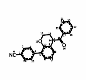 N#Cc1ccc(-c2cncc3c2OCCN3C(=O)c2cccnc2)cc1